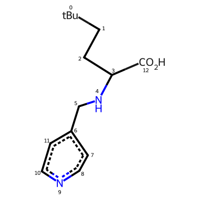 CC(C)(C)CCC(NCc1ccncc1)C(=O)O